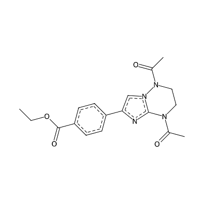 CCOC(=O)c1ccc(-c2cn3c(n2)N(C(C)=O)CCN3C(C)=O)cc1